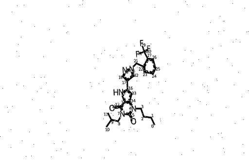 CCCCn1c(=O)n(CC(C)C)c(=O)c2[nH]c(-c3cnn(Cc4ccccc4C(F)(F)F)c3)cc21